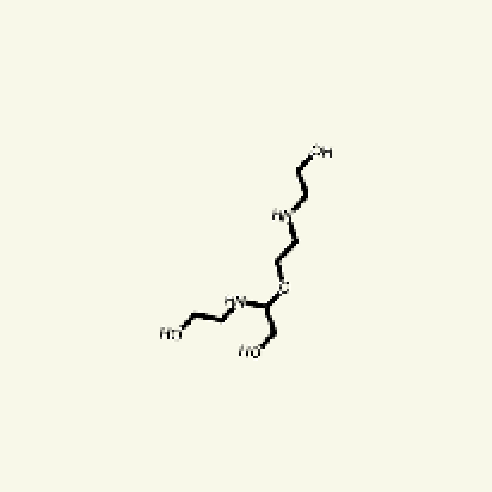 OCCNCCOC(CO)NCCO